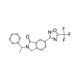 CC(c1ccccc1)N1Cc2ccc(-c3noc(C(F)(F)F)n3)cc2C1=O